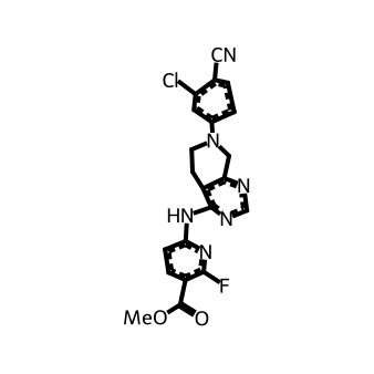 COC(=O)c1ccc(Nc2ncnc3c2CCN(c2ccc(C#N)c(Cl)c2)C3)nc1F